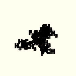 CC(C)(C#Cc1nc(C(N)Cc2cc(F)cc(F)c2)c(-c2ccc(Cl)c3c(N(S(C)(=O)=O)S(C)(=O)=O)nn(CC(F)(F)F)c23)c2c1CCC2)S(C)(=O)=O.Cl